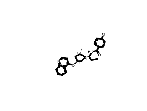 CCC(NC(=O)c1ccc(Cl)cc1)[C@@H]1C[C@@H](Oc2ccnc3ccccc23)C[C@@H]1C